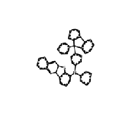 C1=c2ccccc2=CC2c3cccc(N(c4ccccc4)c4ccc(C5(c6ccccc6)c6ccccc6-c6ccccc65)cc4)c3SC12